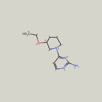 Nc1nccc(N2CCCC(OCC(=O)O)C2)n1